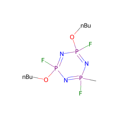 CCCCOP1(F)=NP(C)(F)=NP(F)(OCCCC)=N1